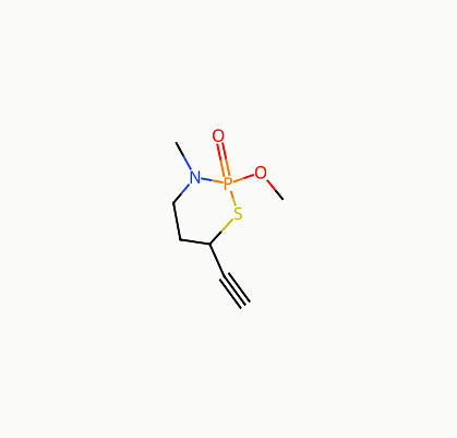 C#CC1CCN(C)P(=O)(OC)S1